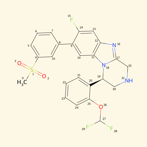 CS(=O)(=O)c1cccc(-c2cc3c(cc2F)nc2n3[C@H](c3ccccc3OC(F)F)CNC2)c1